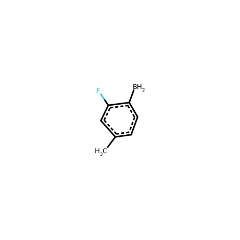 Bc1ccc(C)cc1F